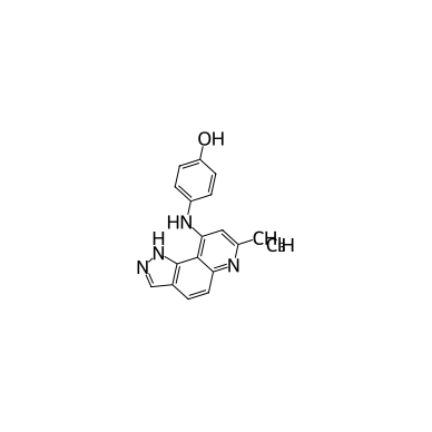 Cc1cc(Nc2ccc(O)cc2)c2c(ccc3cn[nH]c32)n1.Cl